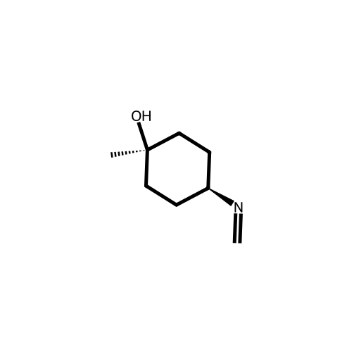 C=N[C@H]1CC[C@@](C)(O)CC1